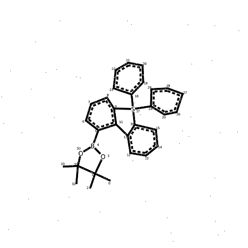 CC1(C)OB(c2cccc3c2-c2ccccc2S3(c2ccccc2)c2ccccc2)OC1(C)C